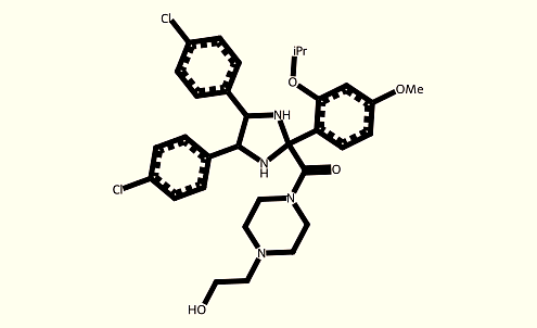 COc1ccc(C2(C(=O)N3CCN(CCO)CC3)NC(c3ccc(Cl)cc3)C(c3ccc(Cl)cc3)N2)c(OC(C)C)c1